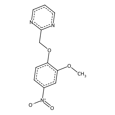 COc1cc([N+](=O)[O-])ccc1OCc1ncccn1